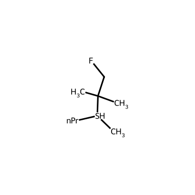 CCC[SH](C)C(C)(C)CF